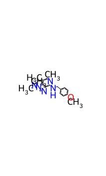 COc1ccc(CNc2nc(C)c(C)c3c2ncn3N(C)C)cc1